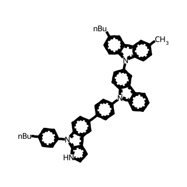 CCCCc1ccc(-n2c3ccc(-c4ccc(-n5c6ccccc6c6cc(-n7c8ccc(C)cc8c8cc(CCCC)ccc87)ccc65)cc4)cc3c3cc[nH]c32)cc1